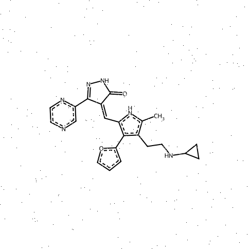 Cc1[nH]c(C=C2C(=O)NN=C2c2cnccn2)c(-c2ccco2)c1CCNC1CC1